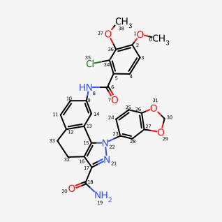 COc1ccc(C(=O)Nc2ccc3c(c2)-c2c(c(C(N)=O)nn2-c2ccc4c(c2)OCO4)CC3)c(Cl)c1OC